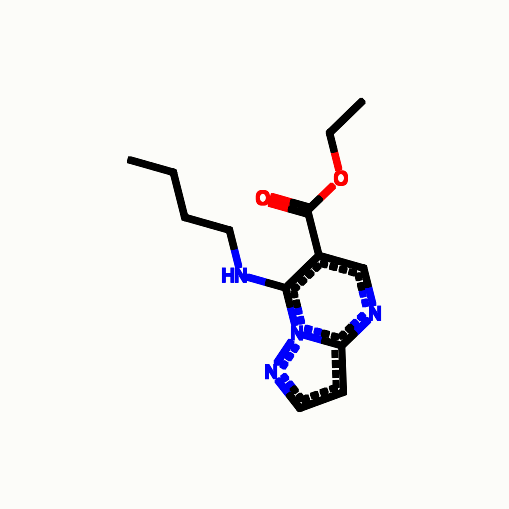 CCCCNc1c(C(=O)OCC)cnc2ccnn12